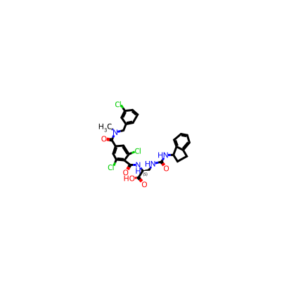 CN(Cc1cccc(Cl)c1)C(=O)c1cc(Cl)c(C(=O)N[C@@H](CNC(=O)NC2CCc3ccccc32)C(=O)O)c(Cl)c1